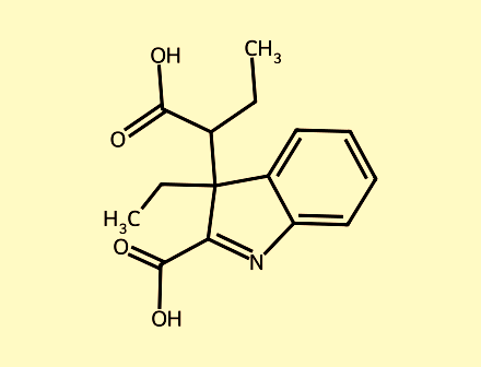 CCC(C(=O)O)C1(CC)C(C(=O)O)=Nc2ccccc21